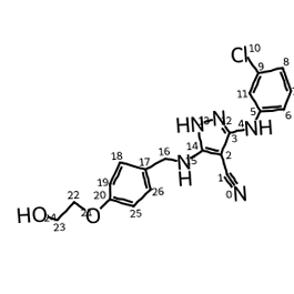 N#Cc1c(Nc2cccc(Cl)c2)n[nH]c1NCc1ccc(OCCO)cc1